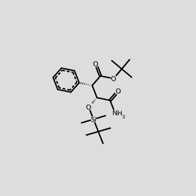 CC(C)(C)OC(=O)[C@@H](c1ccccc1)[C@@H](O[Si](C)(C)C(C)(C)C)C(N)=O